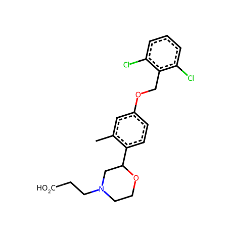 Cc1cc(OCc2c(Cl)cccc2Cl)ccc1C1CN(CCC(=O)O)CCO1